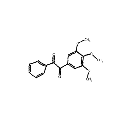 COc1cc(C(=O)C(=O)c2ccccc2)cc(OC)c1OC